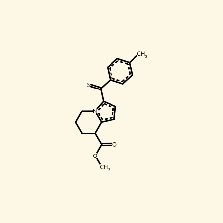 COC(=O)C1CCCn2c(C(=S)c3ccc(C)cc3)ccc21